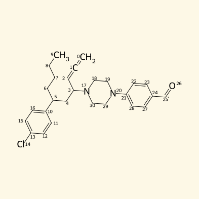 C=C=CC(CC(CCCC)c1ccc(Cl)cc1)N1CCN(c2ccc([C]=O)cc2)CC1